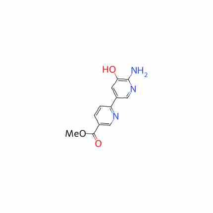 COC(=O)c1ccc(-c2cnc(N)c(O)c2)nc1